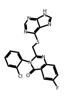 O=c1c2cc(F)ccc2nc(CSc2ncnc3[nH]cnc23)n1-c1ccccc1Cl